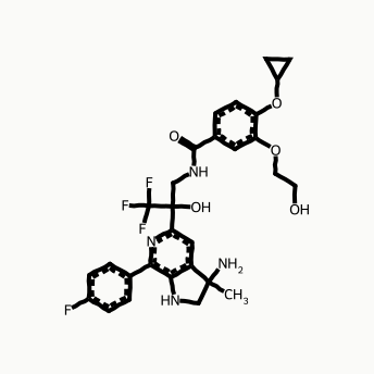 CC1(N)CNc2c1cc(C(O)(CNC(=O)c1ccc(OC3CC3)c(OCCO)c1)C(F)(F)F)nc2-c1ccc(F)cc1